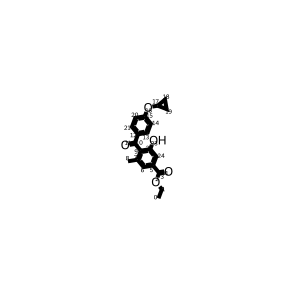 CCOC(=O)c1cc(C)c(C(=O)c2ccc(OC3CC3)cc2)c(O)c1